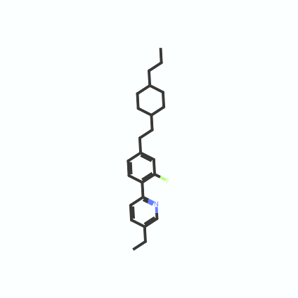 CCCC1CCC(CCc2ccc(-c3ccc(CC)cn3)c(F)c2)CC1